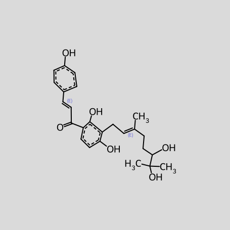 C/C(=C\Cc1c(O)ccc(C(=O)/C=C/c2ccc(O)cc2)c1O)CCC(O)C(C)(C)O